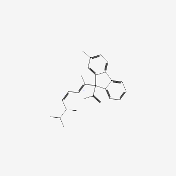 C=C(C)C1(/C(C)=C/C=C\[C@@H](C)C(C)C)c2ccccc2-c2ccc(Cl)cc21